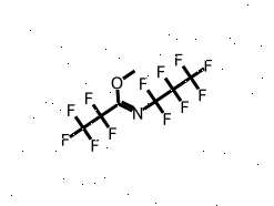 COC(=NC(F)(F)C(F)(F)C(F)(F)F)C(F)(F)C(F)(F)F